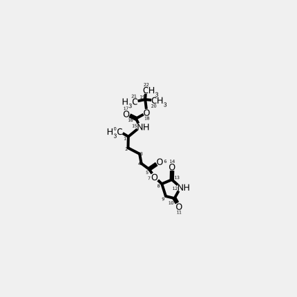 CC(CCCC(=O)OC1CC(=O)NC1=O)NC(=O)OC(C)(C)C